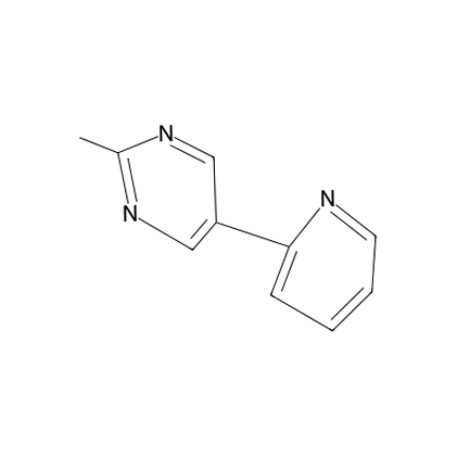 Cc1ncc(-c2ccccn2)cn1